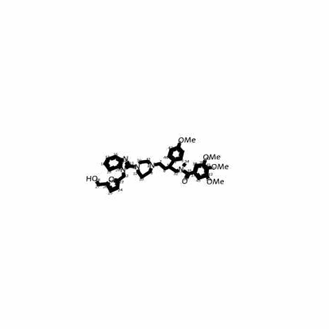 COc1ccc(C(CCN2CCCN(c3nc4ccccc4n3Cc3ccc(CO)o3)CC2)CN(C)C(=O)c2cc(OC)c(OC)c(OC)c2)cc1